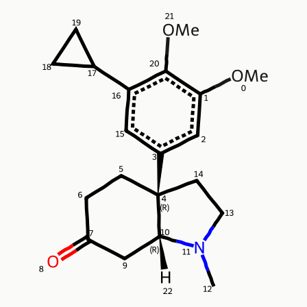 COc1cc([C@]23CCC(=O)C[C@H]2N(C)CC3)cc(C2CC2)c1OC